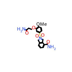 COc1ccc(S(=O)(=O)N2Cc3cccc(C(N)=O)c3C2)cc1OCCC(N)=O